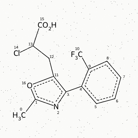 Cc1nc(-c2ccccc2C(F)(F)F)c(CC(Cl)C(=O)O)o1